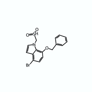 O=[SH](=O)Cn1ccc2c(Br)ccc(OCc3ccccc3)c21